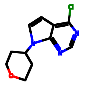 Clc1ncnc2c1ccn2C1CCOCC1